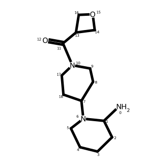 NC1CCCCN1C1CCN(C(=O)C2COC2)CC1